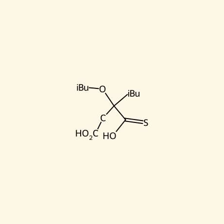 CCC(C)OC(CC(=O)O)(C(O)=S)C(C)CC